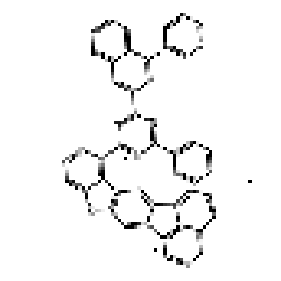 c1ccc(-c2nc(-c3cc(-c4ccccc4)c4ccccc4c3)nc(-c3cccc4sc5cc6c(cc5c34)-c3cccc4cccc-6c34)n2)cc1